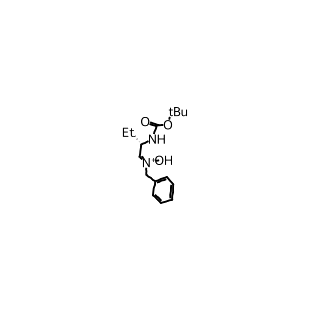 CC[C@@H](/C=[N+](\O)Cc1ccccc1)NC(=O)OC(C)(C)C